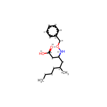 CCCCC(C)CC(CC(=O)O)NOCc1ccccc1